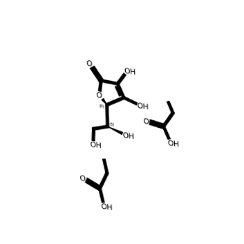 CCC(=O)O.CCC(=O)O.O=C1O[C@H]([C@@H](O)CO)C(O)=C1O